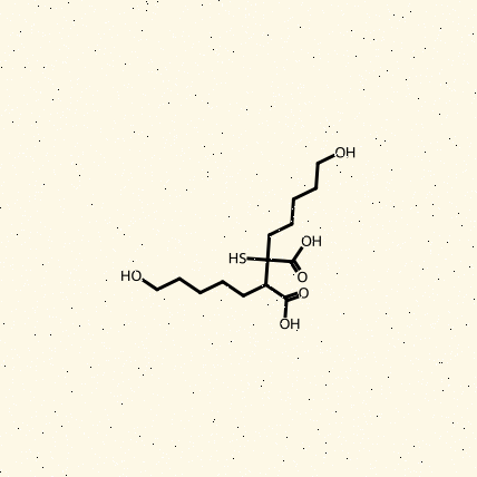 O=C(O)C(CCCCCO)C(S)(CCCCCO)C(=O)O